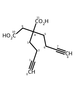 C#CCCC(CCC#C)(CC(=O)O)C(=O)O